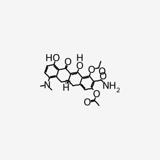 CC(=O)Oc1cc2c(c(OC(C)=O)c1C(N)=O)C(O)=C1C(=O)c3c(O)ccc(N(C)C)c3C[C@H]1C2